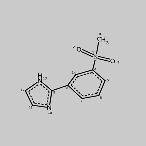 CS(=O)(=O)c1cccc(-c2ncc[nH]2)c1